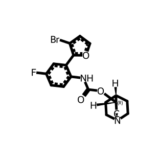 O=C(Nc1ccc(F)cc1-c1occc1Br)O[C@H]1C[N@]2CC[C@H]1CC2